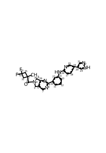 CC1(C(=O)N2Cc3cnc(-c4cccc(Nc5ccc(-c6cn[nH]c6)cn5)c4)nc3C2)CC(F)(F)C1